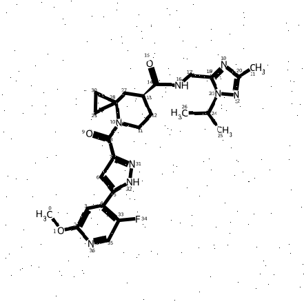 COc1cc(-c2cc(C(=O)N3CC[C@H](C(=O)NCc4nc(C)nn4C(C)C)CC34CC4)n[nH]2)c(F)cn1